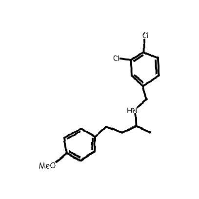 COc1ccc(CCC(C)NCc2ccc(Cl)c(Cl)c2)cc1